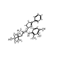 Cc1c(N[C@H]([C@H](C)CC(C)(C)[Si](C)(C)O)N2CSC(c3ccccc3)=N2)ccc(C#N)c1Cl